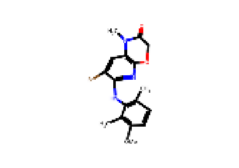 COc1ccc(C)c(Nc2nc3c(cc2Br)N(C)C(=O)CO3)c1C